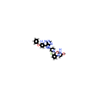 Nc1ncnc2c1c(-c1ccc(Oc3ccccc3)cc1)nn2C1CCN(Cc2c(F)cccc2N2CCC(=O)NC2=O)CC1